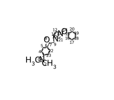 CN(C)c1ccc(C(=O)CN2C=CN(Oc3ccccc3)C2)cc1